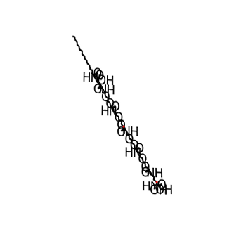 CCCCCCCCCCCCCCCCCC(=O)NC(CCC(=O)NCCOCCOCC(=O)NCCOCCOCC(=O)NCCOCCOCC(=O)NCCOCCOCC(=O)NCCCCC(NO)C(=O)O)C(=O)O